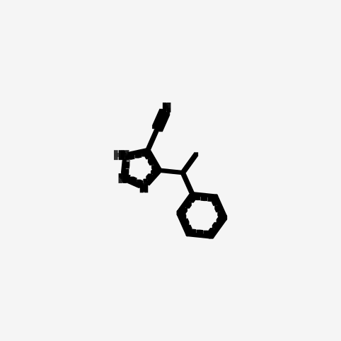 CC(c1ccccc1)c1nn[nH]c1C#N